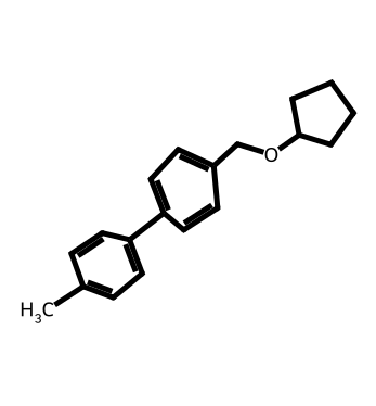 Cc1ccc(-c2ccc(COC3CCCC3)cc2)cc1